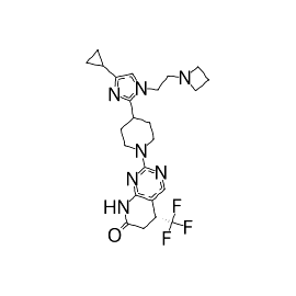 O=C1C[C@@H](C(F)(F)F)c2cnc(N3CCC(c4nc(C5CC5)cn4CCN4CCC4)CC3)nc2N1